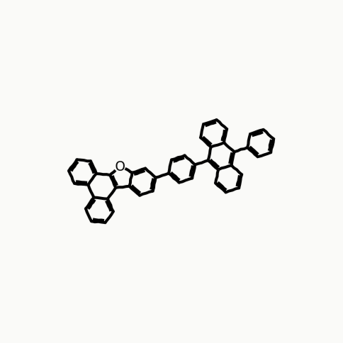 c1ccc(-c2c3ccccc3c(-c3ccc(-c4ccc5c(c4)oc4c6ccccc6c6ccccc6c54)cc3)c3ccccc23)cc1